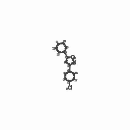 Clc1ccc(-c2cc(-c3ccccc3)on2)cc1